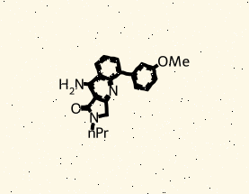 CCCN1Cc2nc3c(-c4cccc(OC)c4)cccc3c(N)c2C1=O